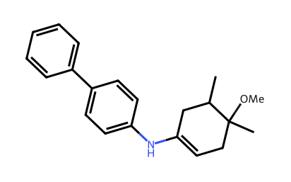 COC1(C)CC=C(Nc2ccc(-c3ccccc3)cc2)CC1C